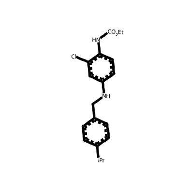 CCOC(=O)Nc1ccc(NCc2ccc(C(C)C)cc2)cc1Cl